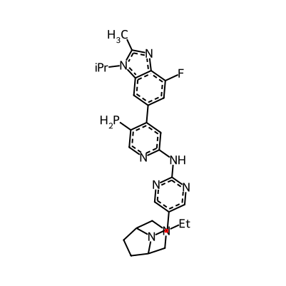 CCN1CC2CCC(C1)N2Cc1cnc(Nc2cc(-c3cc(F)c4nc(C)n(C(C)C)c4c3)c(P)cn2)nc1